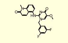 COc1cn(Cc2cc(F)cc(F)c2)c(Nc2cccc3c2ccc(=O)n3C)nc1=O